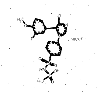 COc1ccc(-c2c(Cl)ncn2-c2ccc(S(=O)(=O)NP(=O)(O)O)cc2)cc1F.[KH].[KH]